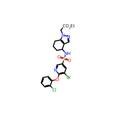 CCOC(=O)Cn1ncc2c1CCCC2NS(=O)(=O)c1cnc(Oc2ccccc2Cl)c(Br)c1